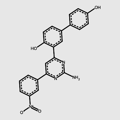 Nc1nc(-c2cccc([N+](=O)[O-])c2)cc(-c2cc(-c3ccc(O)cc3)ccc2O)n1